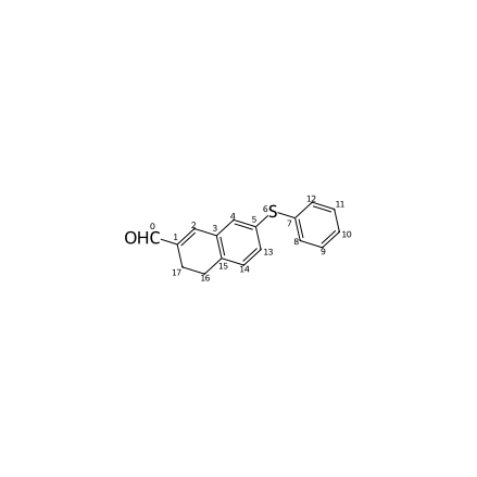 O=CC1=Cc2cc(Sc3ccccc3)ccc2CC1